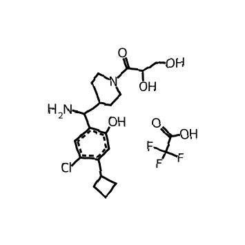 NC(c1cc(Cl)c(C2CCC2)cc1O)C1CCN(C(=O)C(O)CO)CC1.O=C(O)C(F)(F)F